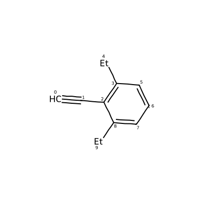 C#Cc1c(CC)c[c]cc1CC